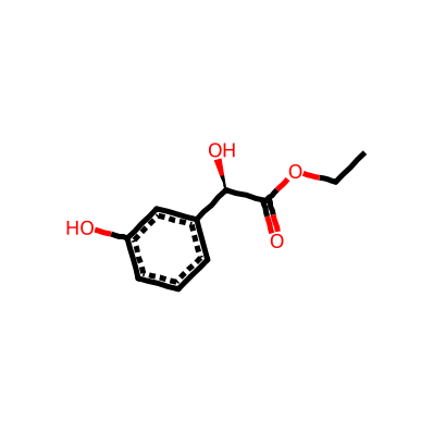 CCOC(=O)[C@H](O)c1cccc(O)c1